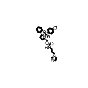 O=C(NCCCn1ccnc1)OC[C@H]1CC[C@@H](c2ccccc2)N1S(=O)(=O)c1ccc(Cl)cc1